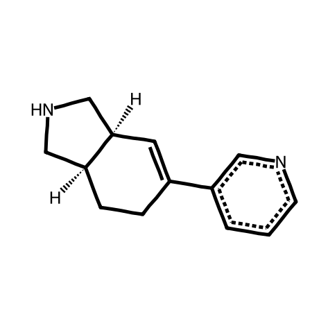 C1=C(c2cccnc2)CC[C@H]2CNC[C@@H]12